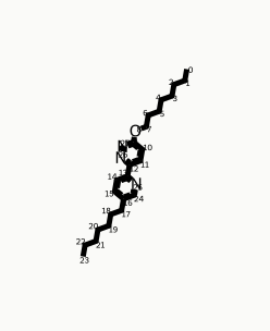 CCCCCCCCOc1ccc(-c2ccc(CCCCCCC)cn2)nn1